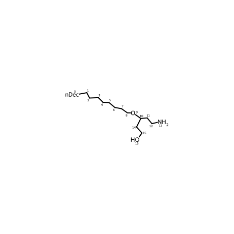 CCCCCCCCCCCCCCCCCCOC(CCN)CCO